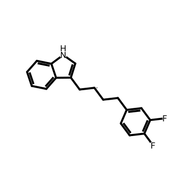 Fc1ccc(CC[CH]Cc2c[nH]c3ccccc23)cc1F